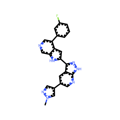 Cn1cc(-c2cnc3[nH]nc(-c4cc5c(-c6cccc(F)c6)cncc5[nH]4)c3c2)cn1